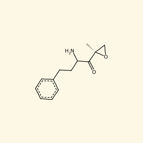 C[C@]1(C(=O)C(N)CCc2ccccc2)CO1